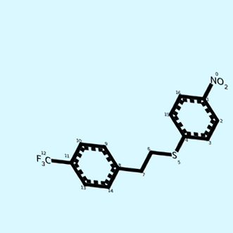 O=[N+]([O-])c1ccc(SCCc2ccc(C(F)(F)F)cc2)cc1